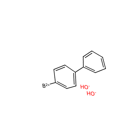 [B+2]c1ccc(-c2ccccc2)cc1.[OH-].[OH-]